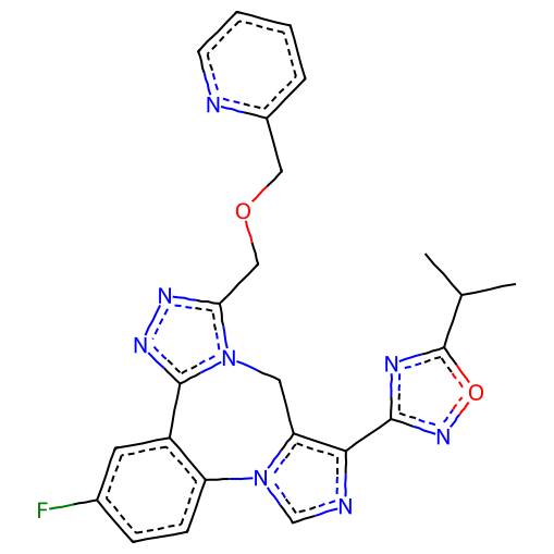 CC(C)c1nc(-c2ncn3c2Cn2c(COCc4ccccn4)nnc2-c2cc(F)ccc2-3)no1